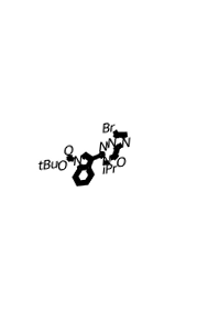 CC(C)n1c(-c2cn(C(=O)OC(C)(C)C)c3ccccc23)nn2c(Br)cnc2c1=O